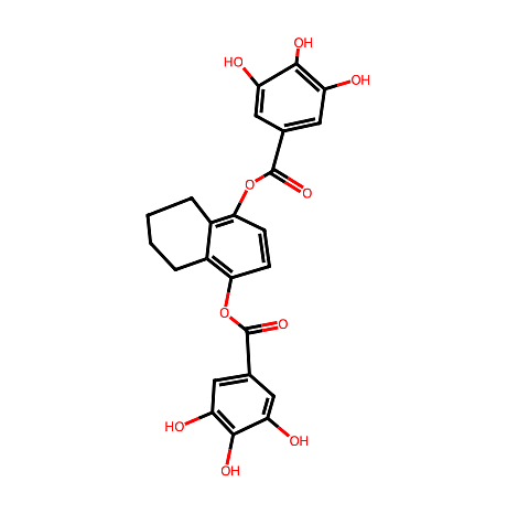 O=C(Oc1ccc(OC(=O)c2cc(O)c(O)c(O)c2)c2c1CCCC2)c1cc(O)c(O)c(O)c1